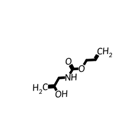 C=CCOC(=O)NCC(=C)O